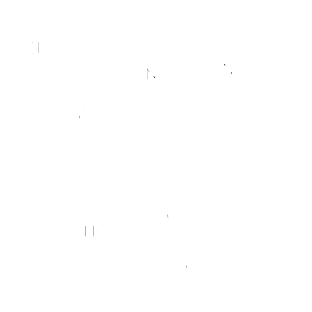 CNc1ccc(C(=O)O)cc1NC(=O)CCl